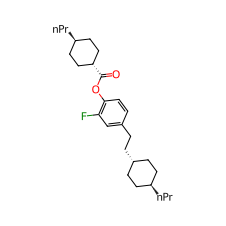 CCC[C@H]1CC[C@H](CCc2ccc(OC(=O)[C@H]3CC[C@H](CCC)CC3)c(F)c2)CC1